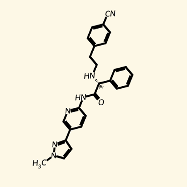 Cn1ccc(-c2ccc(NC(=O)[C@H](NCCc3ccc(C#N)cc3)c3ccccc3)nc2)n1